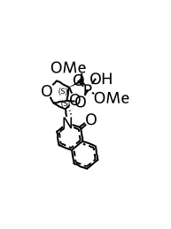 COC[C@@]12COC(C(n3ccc4ccccc4c3=O)O1)[C@]2(C)OP(=O)(O)OC